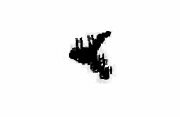 CCCCc1ccc(-c2ccc(C(=O)N[C@@H](CCCCNC(=O)OC(C)(C)C)C(=O)NC(C(=O)N[C@@H](N)C(=O)N[C@@H](CCCCNC(=O)OC(C)(C)C)C(=O)O)[C@@H](C)OCC(C)C)cc2)cc1